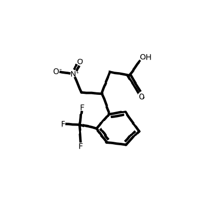 O=C(O)CC(C[N+](=O)[O-])c1ccccc1C(F)(F)F